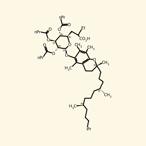 CCCC(=O)O[C@@H]1[C@@H](OC(=O)CCC)[C@H](Oc2c(C)c(C)c3c(c2C)CC[C@@](C)(CCC[C@H](C)CCC[C@H](C)CCCC(C)C)O3)O[C@H](CC(CC)C(=O)O)[C@H]1OC(=O)CCC